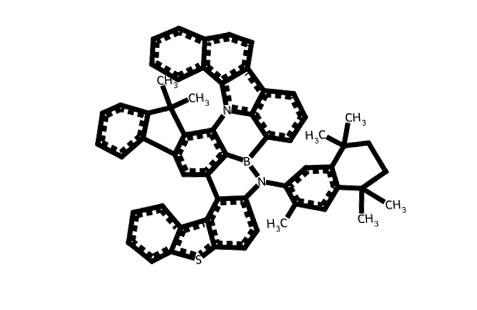 Cc1cc2c(cc1N1B3c4c(cc5c(c4-n4c6c3cccc6c3ccc6ccccc6c34)C(C)(C)c3ccccc3-5)-c3c1ccc1sc4ccccc4c31)C(C)(C)CCC2(C)C